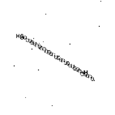 C#CCOCCOCCOCCOCCC(=O)NCCOCCOCCOCCOCCOCCOCCOCCOCCOCCOCCOCCOCCOCCOCCOCCOCCOCCOCCOCCOCCOCCOCCOCCOCCC(=O)O